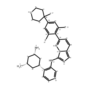 C[C@@H]1C[C@H](N)C[C@H](c2ccncc2Nc2ncc3ccc(-c4c(F)cc(C5(F)CCOCC5)cc4F)nn23)C1